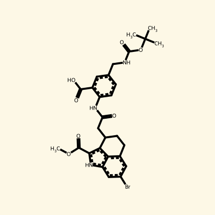 COC(=O)c1[nH]c2cc(Br)cc3c2c1C(CC(=O)Nc1ccc(CNC(=O)OC(C)(C)C)cc1C(=O)O)CC3